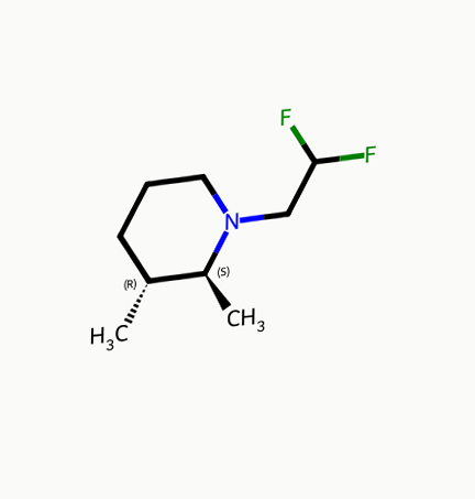 C[C@@H]1CCCN(CC(F)F)[C@H]1C